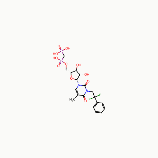 Cc1cn([C@@H]2O[C@H](COP(=O)(O)CP(=O)(O)O)C(O)[C@@H]2O)c(=O)n(CC(F)(F)c2ccccc2)c1=O